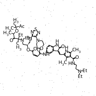 CCN(CC)CCNC(=O)c1c(C)[nH]c(/C=C2\C(=O)Nc3ccc(NC(=O)/C=C\C(=O)O[C@H](COc4nsnc4N4CCOCC4)CN(C(C)(C)C)C(C)(CC)C(=O)C(C)OC(C)(C)C(C)=O)cc32)c1C